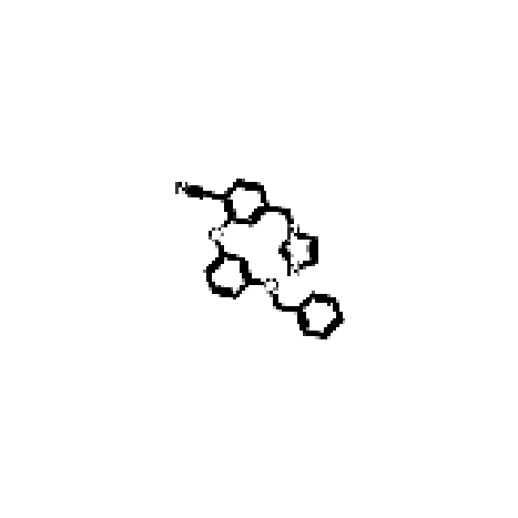 N#Cc1ccc(Cn2ccnc2)cc1Oc1cccc(OCc2ccccc2)c1